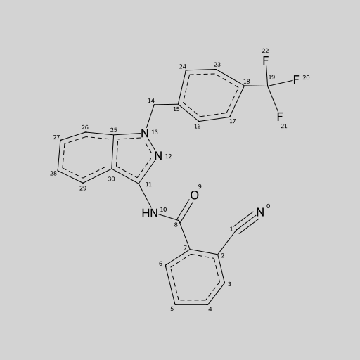 N#Cc1ccccc1C(=O)Nc1nn(Cc2ccc(C(F)(F)F)cc2)c2ccccc12